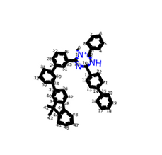 C[N+]1=C(c2ccccc2)NC(c2ccc(-c3ccccc3)cc2)N=C1c1cccc(-c2cccc(-c3ccc4c(c3)C(C)(C)c3ccccc3-4)c2)c1